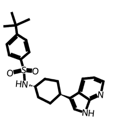 CC(C)(C)c1ccc(S(=O)(=O)N[C@H]2CC[C@H](c3c[nH]c4ncccc43)CC2)cc1